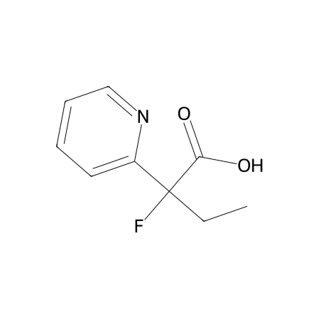 CCC(F)(C(=O)O)c1ccccn1